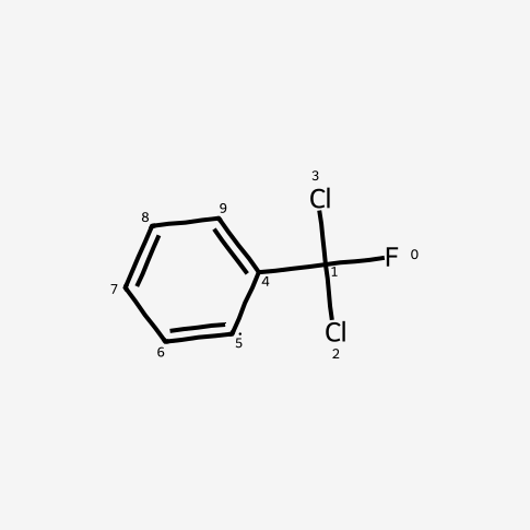 FC(Cl)(Cl)c1[c]cccc1